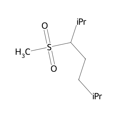 CC(C)CCC(C(C)C)S(C)(=O)=O